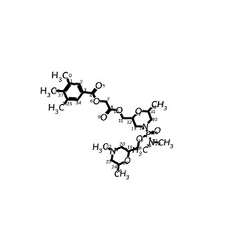 Cc1cc(C(=O)OCC(=O)OCC2CN(P(=O)(OCC3CN(C)CC(C)O3)N(C)C)CC(C)O2)cc(C)c1C